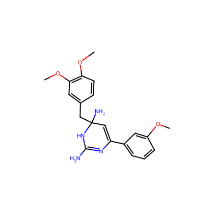 COc1cccc(C2=CC(N)(Cc3ccc(OC)c(OC)c3)NC(N)=N2)c1